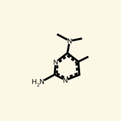 Cc1cnc(N)nc1N(C)C